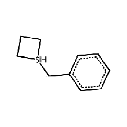 [CH](c1ccccc1)[SiH]1CCC1